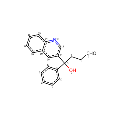 O=CCCC(O)(c1ccccc1)c1cnc2ccccc2c1